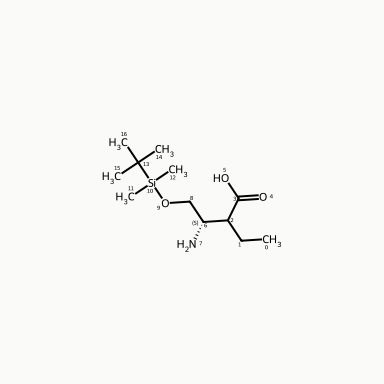 CCC(C(=O)O)[C@H](N)CO[Si](C)(C)C(C)(C)C